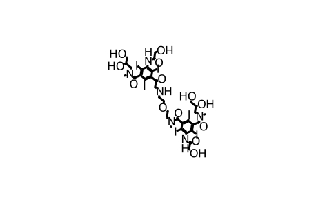 CN(CC(O)CO)C(=O)c1c(I)c(NC(=O)CO)c(I)c(C(=O)CNCCOCCN(C)C(=O)c2c(I)c(NC(=O)CO)c(I)c(C(=O)N(C)CC(O)CO)c2I)c1I